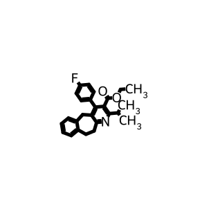 CCOC(=O)c1c(C(C)C)nc2c(c1-c1ccc(F)cc1)Cc1ccccc1CC2